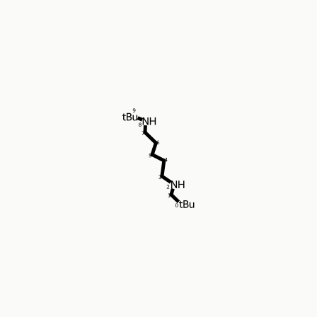 CC(C)(C)CNCCCCCNC(C)(C)C